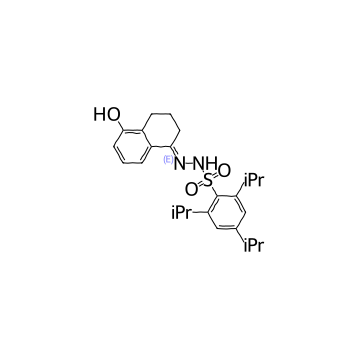 CC(C)c1cc(C(C)C)c(S(=O)(=O)N/N=C2\CCCc3c(O)cccc32)c(C(C)C)c1